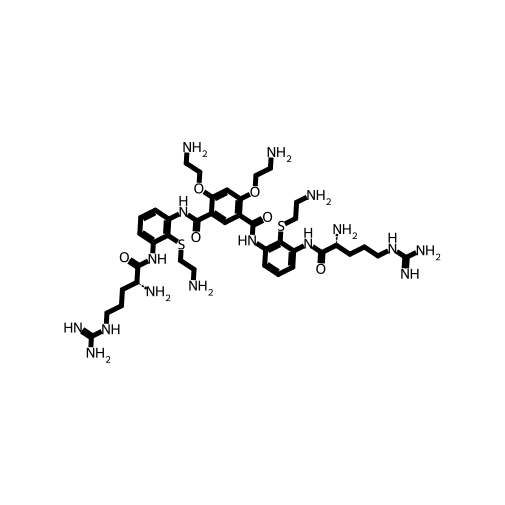 N=C(N)NCCC[C@@H](N)C(=O)Nc1cccc(NC(=O)c2cc(C(=O)Nc3cccc(NC(=O)[C@H](N)CCCNC(=N)N)c3SCCN)c(OCCN)cc2OCCN)c1SCCN